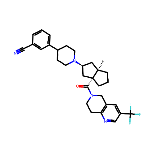 N#Cc1cccc(C2CCN([C@H]3C[C@H]4CCC[C@@]4(C(=O)N4CCc5ncc(C(F)(F)F)cc5C4)C3)CC2)c1